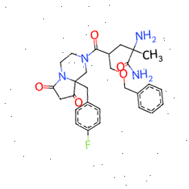 CC(N)(CC(COCc1ccccc1)C(=O)N1CCN2C(=O)CC(=O)C2(Cc2ccc(F)cc2)C1)C(N)=O